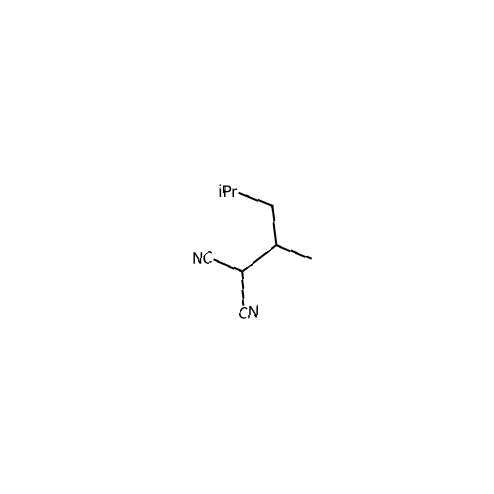 CC(C)CC(C)C(C#N)C#N